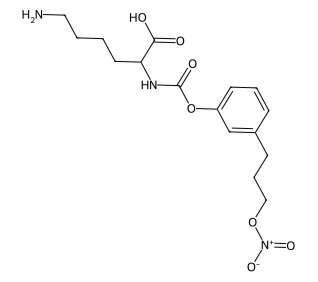 NCCCCC(NC(=O)Oc1cccc(CCCO[N+](=O)[O-])c1)C(=O)O